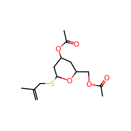 C=C(C)CSC1CC(OC(C)=O)CC(COC(C)=O)O1